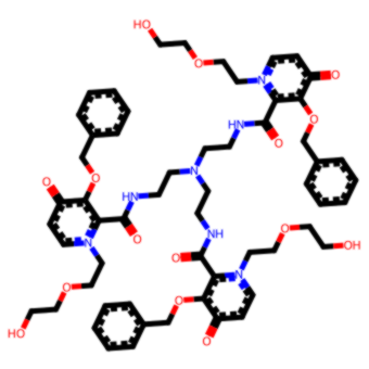 O=C(NCCN(CCNC(=O)c1c(OCc2ccccc2)c(=O)ccn1CCOCCO)CCNC(=O)c1c(OCc2ccccc2)c(=O)ccn1CCOCCO)c1c(OCc2ccccc2)c(=O)ccn1CCOCCO